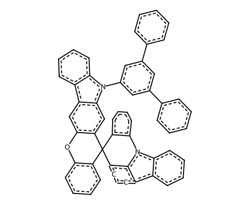 c1ccc(-c2cc(-c3ccccc3)cc(-n3c4ccccc4c4cc5c(cc43)C3(c4ccccc4O5)c4ccccc4-n4c5ccccc5c5cccc3c54)c2)cc1